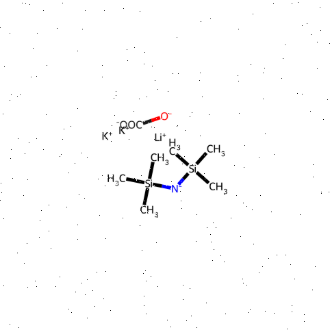 C[Si](C)(C)[N-][Si](C)(C)C.O=C([O-])[O-].[K+].[K+].[Li+]